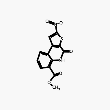 COC(=O)c1cccc2c1[nH]c(=O)c1sc([N+](=O)[O-])cc12